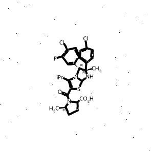 CC(C)C1=C(C(=O)N2C(C(=O)O)CC[C@H]2C)SC2N[C@@](C)(c3ccc(Cl)cc3)[C@@H](c3ccc(Cl)c(F)c3)N12